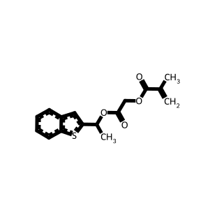 C=C(C)C(=O)OCC(=O)OC(C)c1cc2ccccc2s1